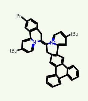 CC(C)c1ccc2c(c1)-c1cc(C(C)(C)C)cc[n+]1/C(=C1\Cc3cc4c5ccccc5c5ccccc5c4cc3-c3cc(C(C)(C)C)cc[n+]31)C2